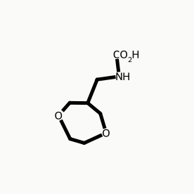 O=C(O)NCC1COCCOC1